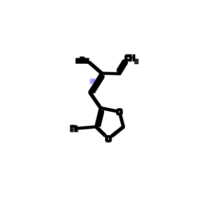 C=C/C(=C\C1=C(CC)OCO1)CCCC